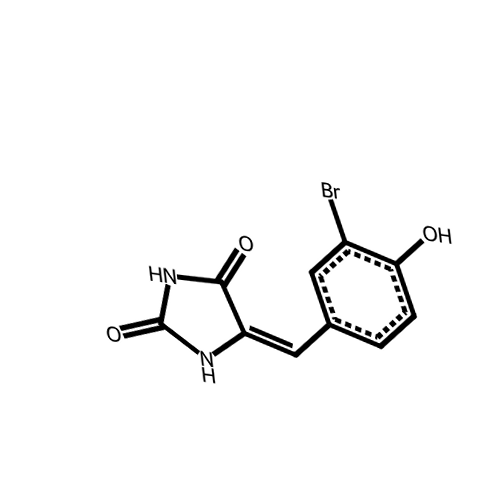 O=C1NC(=O)/C(=C\c2ccc(O)c(Br)c2)N1